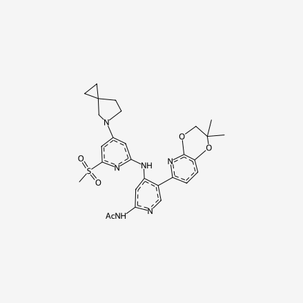 CC(=O)Nc1cc(Nc2cc(N3CCC4(CC4)C3)cc(S(C)(=O)=O)n2)c(-c2ccc3c(n2)OCC(C)(C)O3)cn1